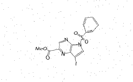 COC(=O)c1cnc2c(n1)c(I)cn2S(=O)(=O)c1ccccc1